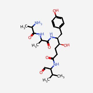 CC(N)C(=O)NC(C)C(=O)N[C@@H](Cc1ccc(O)cc1)[C@@H](O)CCC(=O)NC([C]=O)C(C)C